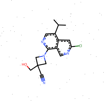 CC(C)c1cnc(N2CC(C#N)(CO)C2)c2cnc(Cl)cc12